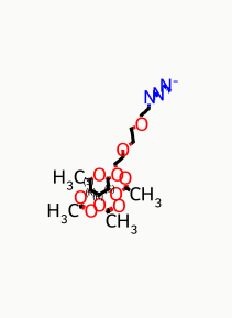 CC(=O)O[C@@H]1[C@H](OC(C)=O)[C@H](C)OC(OCCOCCOCCN=[N+]=[N-])[C@H]1OC(C)=O